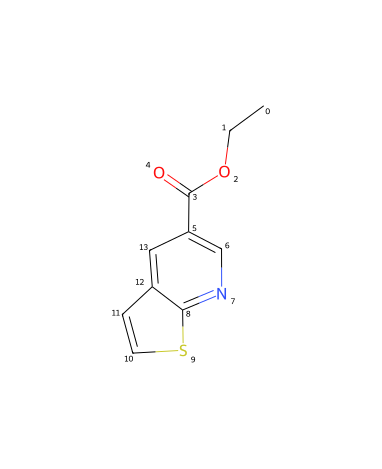 CCOC(=O)c1cnc2sccc2c1